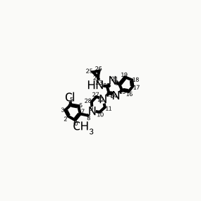 Cc1ccc(Cl)cc1CN1CCN(c2nc3ccccc3nc2NC2CC2)CC1